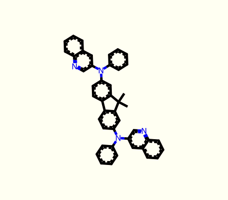 CC1(C)c2cc(N(c3ccccc3)c3cnc4ccccc4c3)ccc2-c2ccc(N(c3ccccc3)c3cnc4ccccc4c3)cc21